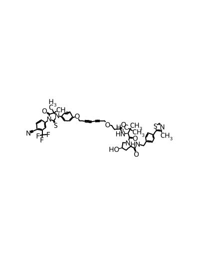 Cc1ncsc1-c1ccc(CNC(=O)C2C[C@@H](O)CN2C(=O)[C@@H](NC(=O)CCOCC#CC#CCOc2ccc(N3C(=S)N(c4ccc(C#N)c(C(F)(F)F)c4)C(=O)C3(C)C)cc2)C(C)(C)C)cc1